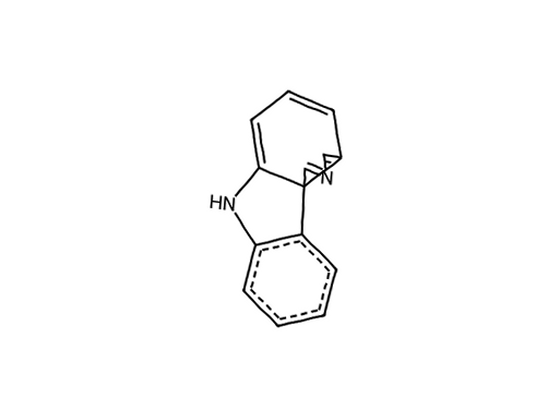 C1=CC2=CN=CC23C(=C1)Nc1ccccc13